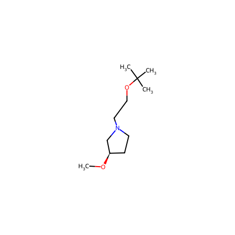 CO[C@@H]1CCN(CCOC(C)(C)C)C1